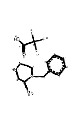 CC1CNCCN1Cc1ccccc1.O=C(O)C(F)(F)F